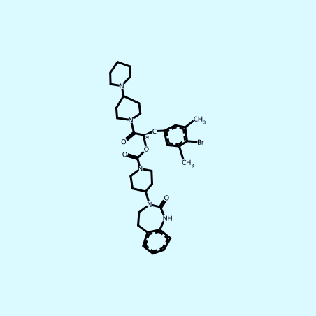 Cc1cc(C[C@@H](OC(=O)N2CCC(N3CCc4ccccc4NC3=O)CC2)C(=O)N2CCC(N3CCCCC3)CC2)cc(C)c1Br